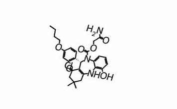 CCCCOc1ccc([C@H]2C3=C(CC(C)(C)CC3=O)Nc3c(O)cccc3N2C(=O)OCC(N)=O)c(Cl)c1